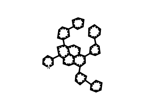 c1ccc(-c2cccc(-c3cc(-c4cccnc4)c4ccc5c(-c6cccc(-c7ccccc7)c6)cc(-c6cccc(-c7ccccc7)c6)c6ccc3c4c56)c2)cc1